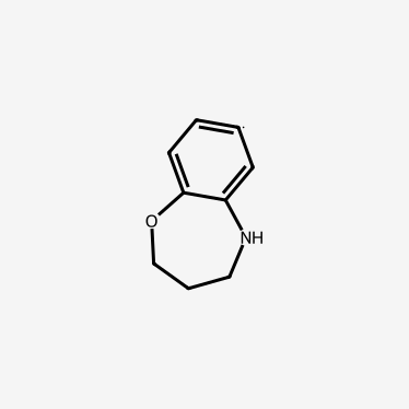 [c]1ccc2c(c1)NCCCO2